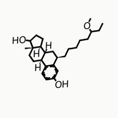 CCC(CCCCC[C@@H]1C[C@@H]2[C@H](CC[C@]3(C)C(O)CC[C@@H]23)c2ccc(O)cc21)OC